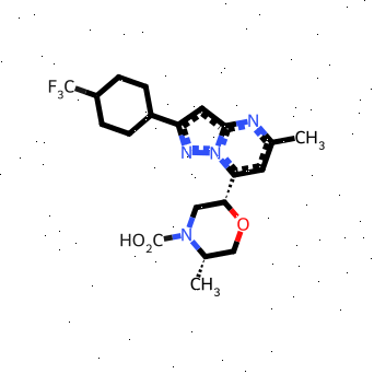 Cc1cc([C@H]2CN(C(=O)O)[C@@H](C)CO2)n2nc(C3CCC(C(F)(F)F)CC3)cc2n1